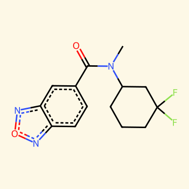 CN(C(=O)c1ccc2nonc2c1)C1CCCC(F)(F)C1